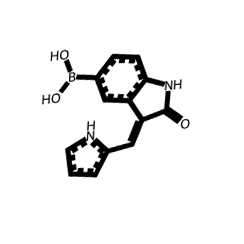 O=C1Nc2ccc(B(O)O)cc2/C1=C\c1ccc[nH]1